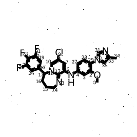 COc1cc(NC2=CC(Cl)=CN3C2=NCCCC3c2cc(F)c(F)c(F)c2)ccc1-n1cnc(C)c1